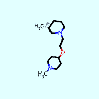 C[C@@H]1CCCN(CCOC2CCN(C)CC2)C1